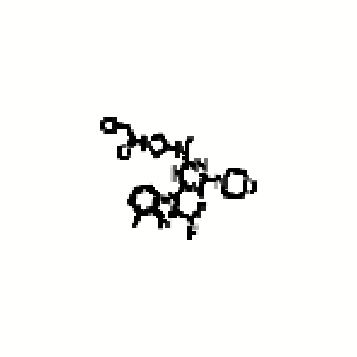 Cc1cccc2c1nc(C(F)F)n2-c1nc(N2CCOCC2)nc(N(C)C2CN(C(=O)CCl)C2)n1